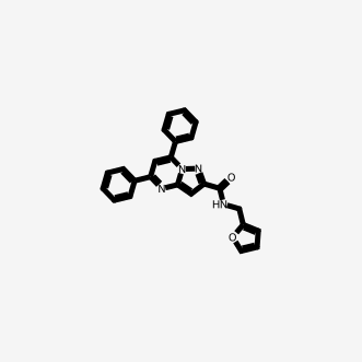 O=C(NCc1ccco1)c1cc2nc(-c3ccccc3)cc(-c3ccccc3)n2n1